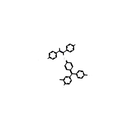 CC/C(=C(/CC)c1ccc(O)cc1)c1ccc(O)cc1.Cc1cc(C(=C2C=CC(=N)C=C2)c2ccc(N)cc2)ccc1N.Cl